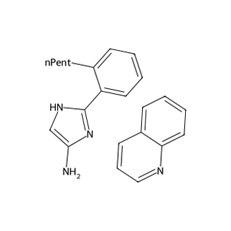 CCCCCc1ccccc1-c1nc(N)c[nH]1.c1ccc2ncccc2c1